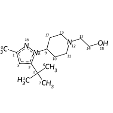 Cc1cc(C(C)(C)C)n(C2CCN(CCO)CC2)n1